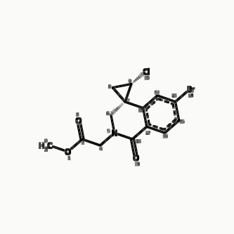 COC(=O)CN1C[C@@]2(C[C@@H]2Cl)c2cc(Br)ccc2C1=O